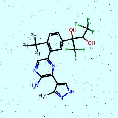 [2H]C([2H])([2H])c1ccc(C(O)(C(O)C(F)(F)F)C(F)(F)F)cc1-c1cnc(N)c(-c2c[nH]nc2C)n1